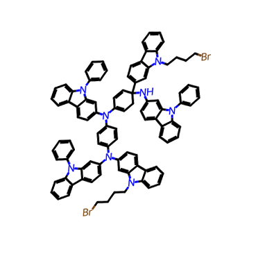 BrCCCCn1c2ccccc2c2ccc(N(c3ccc(N(C4=CCC(Nc5ccc6c7ccccc7n(-c7ccccc7)c6c5)(c5ccc6c7ccccc7n(CCCCBr)c6c5)C=C4)c4ccc5c6ccccc6n(-c6ccccc6)c5c4)cc3)c3ccc4c5ccccc5n(-c5ccccc5)c4c3)cc21